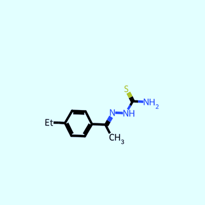 CCc1ccc(C(C)=NNC(N)=S)cc1